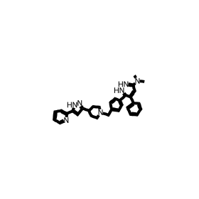 CN(C)C(=N)/C=C(\C(=N)c1ccc(CN2CCC(c3cc(-c4ccccn4)[nH]n3)CC2)cc1)c1ccccc1